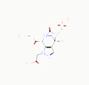 COC(=O)[C@@H]1c2c(cnn2CC(=O)O)[C@@H]2CN1C(=O)N2OS(=O)(=O)O